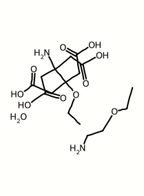 CCOC(CC(=O)O)(CC(=O)O)C(N)(CC(=O)O)CC(=O)O.CCOCCN.O